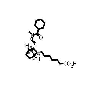 CN(N=C[C@@H]1[C@@H](CCCCCCC(=O)O)[C@@H]2CC[C@H]1O2)C(=O)C1CCCCC1